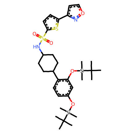 CC(C)(C)[Si](C)(C)Oc1ccc(C2CCC(NS(=O)(=O)c3ccc(-c4ccon4)s3)CC2)c(O[Si](C)(C)C(C)(C)C)c1